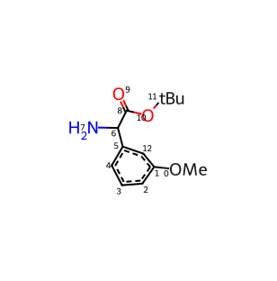 COc1cccc(C(N)C(=O)OC(C)(C)C)c1